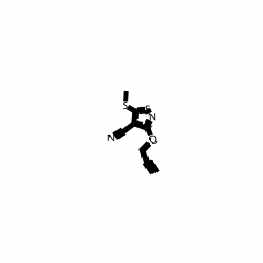 C#CCOc1nsc(SC)c1C#N